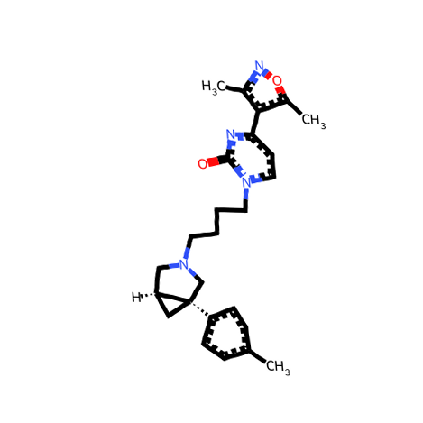 Cc1ccc([C@]23C[C@H]2CN(CCCCn2ccc(-c4c(C)noc4C)nc2=O)C3)cc1